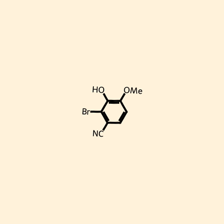 COc1ccc(C#N)c(Br)c1O